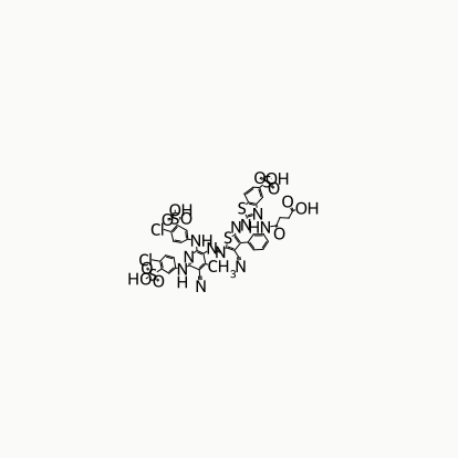 Cc1c(C#N)c(Nc2ccc(Cl)c(S(=O)(=O)O)c2)nc(Nc2ccc(Cl)c(S(=O)(=O)O)c2)c1N=Nc1sc(N=Nc2nc3cc(S(=O)(=O)O)ccc3s2)c(-c2cccc(NC(=O)CCC(=O)O)c2)c1C#N